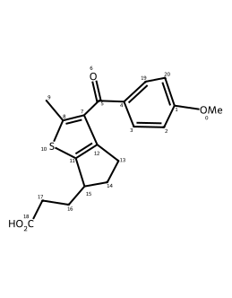 COc1ccc(C(=O)c2c(C)sc3c2CCC3CCC(=O)O)cc1